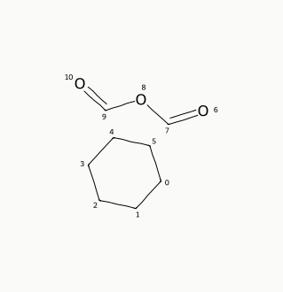 C1CCCCC1.O=COC=O